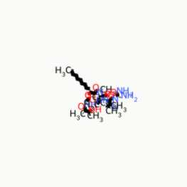 CCCCCCCCCC[C@@H](OC(=O)CNC(=O)[C@@H](C)[C@H](C)O)[C@@H](C)C(=O)N(C)[C@@H](CC(C)C)C(=O)N[C@H](C(=O)N[C@@H](CN)C(N)=O)[C@H](C)CC